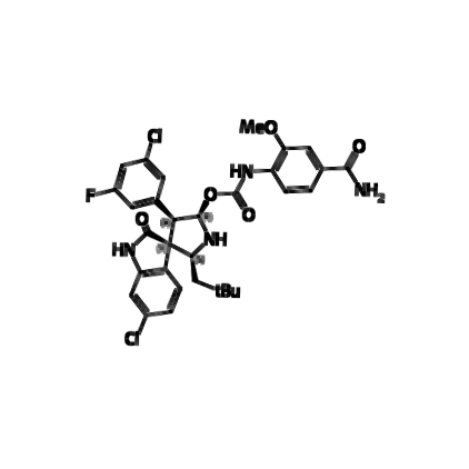 COc1cc(C(N)=O)ccc1NC(=O)O[C@H]1N[C@@H](CC(C)(C)C)[C@@]2(C(=O)Nc3cc(Cl)ccc32)[C@H]1c1cc(F)cc(Cl)c1